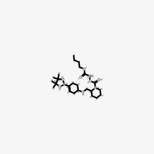 CCCCOC(=O)NOC(=O)N1CCCCC1COC1CC=C(B2OC(C)(C)C(C)(C)O2)CC1